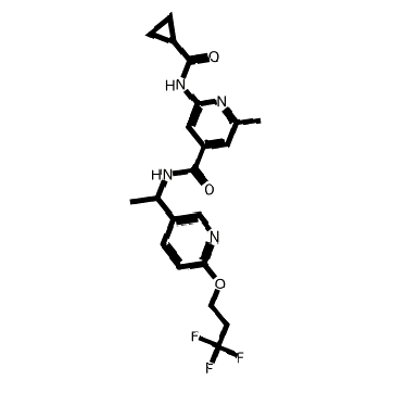 Cc1cc(C(=O)NC(C)c2ccc(OCCC(F)(F)F)nc2)cc(NC(=O)C2CC2)n1